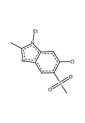 CCn1c(C)nc2cc(S(C)(=O)=O)c(Cl)cc21